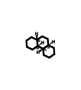 C1CC[C@H]2[C@H](C1)CC[C@H]1CCCC[C@@H]12